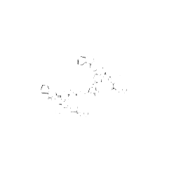 CN[C@@H](C)C(=O)NC(C(=O)N1C[C@H](NC(=O)CCc2cn([C@H]3C[C@@H](C(=O)N[C@@H]4CCCc5ccccc54)N(C(=O)[C@@H](NC(=O)[C@H](C)NC)C(C)(C)C)C3)nn2)CC1C(=O)N[C@H](C)c1ccccc1)C(C)(C)C